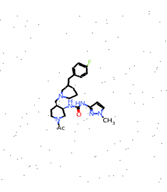 CC(=O)N1CC[C@@H](CN2CCCC(Cc3ccc(F)cc3)C2)[C@@H](NC(=O)Nc2ccn(C)n2)C1